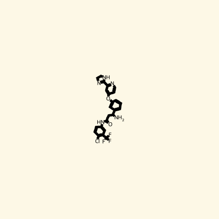 NC(CC(=O)Nc1ccc(Cl)c(C(F)(F)F)c1)c1cccc(Oc2ccnc(C3=NCCN3)c2)c1